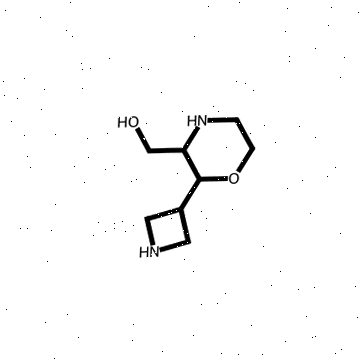 OCC1NCCOC1C1CNC1